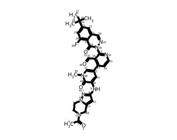 CC(=O)N1CCn2nc(Nc3cc(-c4ccnc(-n5ncc6cc(C(C)(C)C)cc(F)c6c5=O)c4C=O)cn(C)c3=O)cc2C1